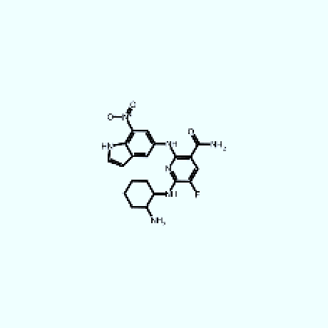 NC(=O)c1cc(F)c(NC2CCCCC2N)nc1Nc1cc([N+](=O)[O-])c2[nH]ccc2c1